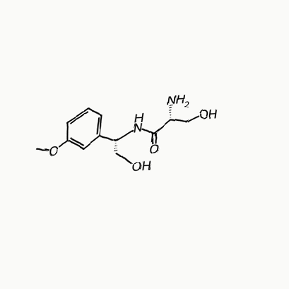 COc1cccc([C@@H](CO)NC(=O)[C@H](N)CO)c1